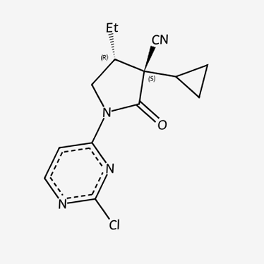 CC[C@H]1CN(c2ccnc(Cl)n2)C(=O)[C@@]1(C#N)C1CC1